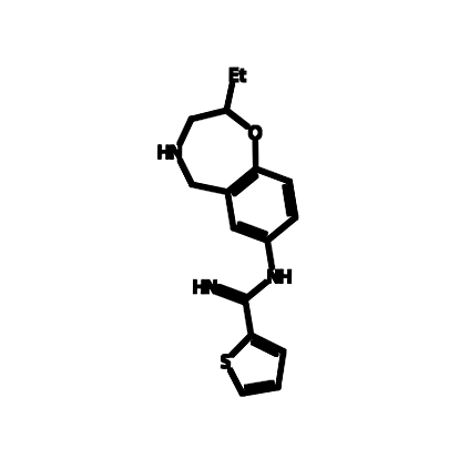 CCC1CNCc2cc(NC(=N)c3cccs3)ccc2O1